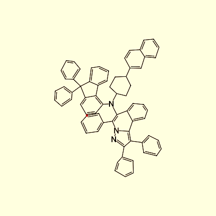 c1ccc(-c2nn3c(-c4ccccc4)c(N(c4cccc5c4-c4ccccc4C5(c4ccccc4)c4ccccc4)C4CCC(c5ccc6ccccc6c5)CC4)c4ccccc4c3c2-c2ccccc2)cc1